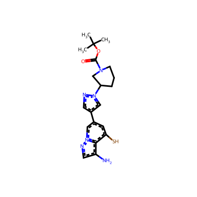 CC(C)(C)OC(=O)N1CCCC(n2cc(-c3cc(S)c4c(N)cnn4c3)cn2)C1